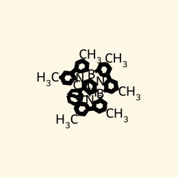 Cc1ccc2c(c1)c1cc(C)cc3c1n2-c1c2c4c5c(c1C1(C)CC6CCC(C1)C(C)C6)-n1c6ccc(C)cc6c6cc(C)cc(c61)B5c1cc(C)cc5c6cc(C)cc(c6n-4c15)B23